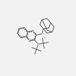 C[P@](c1nc2ccccc2nc1P(C(C)(C)C)C(C)(C)C)C12CC3CC(CC(C3)C1)C2